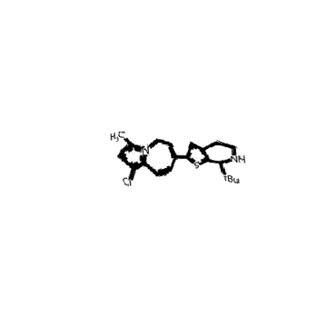 Cc1cc(Cl)c2n1CC=C(c1cc3c(s1)C(C(C)(C)C)NCC3)C=C2